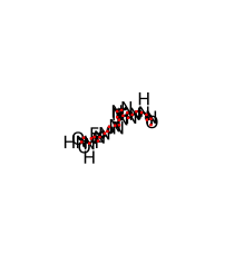 COc1ccc(NC2CCN(c3ccc(-c4nc(-c5cnn([C@H]6CC[C@H](N7CCN(c8c(F)cc(NC9CCC(=O)NC9=O)cc8F)CC7)CC6)c5)cn5ncc(C#N)c45)cn3)CC2)cn1